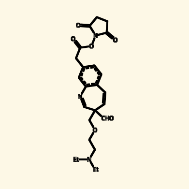 CCN(CC)CCOCC1(C=O)C=Cc2ccc(CC(=O)ON3C(=O)CCC3=O)cc2N=C1